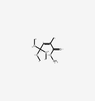 COC(C=C(C)C(=O)O[SiH3])(OC)OC